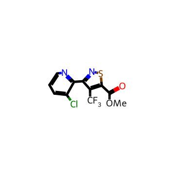 COC(=O)c1snc(-c2ncccc2Cl)c1C(F)(F)F